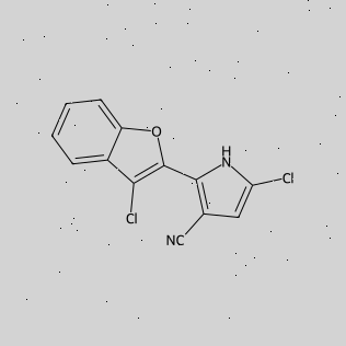 N#Cc1cc(Cl)[nH]c1-c1oc2ccccc2c1Cl